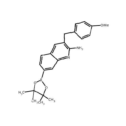 COc1ccc(Cc2cc3ccc(B4OC(C)(C)C(C)(C)O4)cc3nc2N)cc1